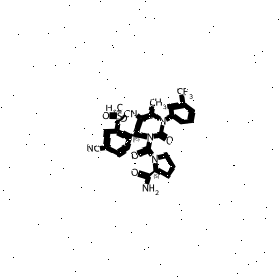 [C-]#[N+]C1=C(C)N(c2cccc(C(F)(F)F)c2)C(=O)N(C(=O)N2CCC[C@H]2C(N)=O)[C@@H]1c1ccc(C#N)cc1S(C)(=O)=O